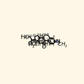 C/N=C1\C=C[C@@]2(C)C(=C1)CC[C@@H]1[C@@H]2C(=O)C[C@@]2(C)[C@H]1CC[C@]2(O)C(=O)CO